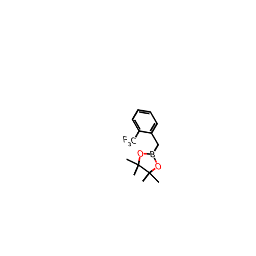 CC1(C)OB(Cc2ccccc2C(F)(F)F)OC1(C)C